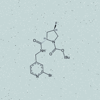 CC(C)(C)OC(=O)N1C[C@H](F)C[C@H]1C(=O)NCc1ccnc(Br)c1